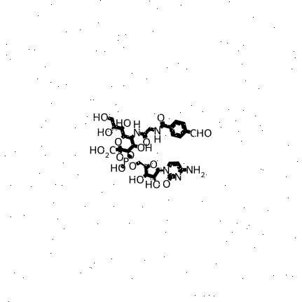 Nc1ccn([C@@H]2O[C@H](COP(=O)(O)OC3(C(=O)O)CC(O)C(NC(=O)CNC(=O)c4ccc(C=O)cc4)C(C(O)[C@H](O)CO)O3)C(O)[C@@H]2O)c(=O)n1